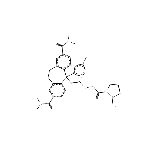 Cc1nnc(C2(CCNCC(=O)N3CCCC3C#N)c3ccc(C(=O)N(C)C)cc3CCc3cc(C(=O)N(C)C)ccc32)[nH]1